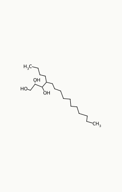 CCCCCCCCCCCC(CCCC)C(O)[C@@H](O)CO